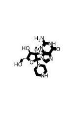 CC(=O)[C@@]1(O)[C@H](O)[C@@H](CO)O[C@@]1(N1CCNCC1)n1cnc2c(=O)[nH]c(N)nc21